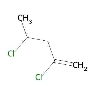 C=C(Cl)CC(C)Cl